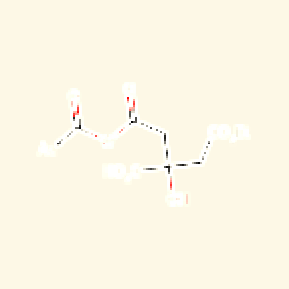 CCOC(=O)CC(O)(CC(=O)OC(=O)C(C)=O)C(=O)O